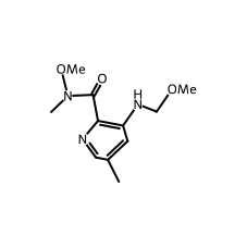 COCNc1cc(C)cnc1C(=O)N(C)OC